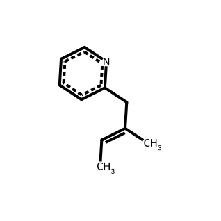 CC=C(C)Cc1ccccn1